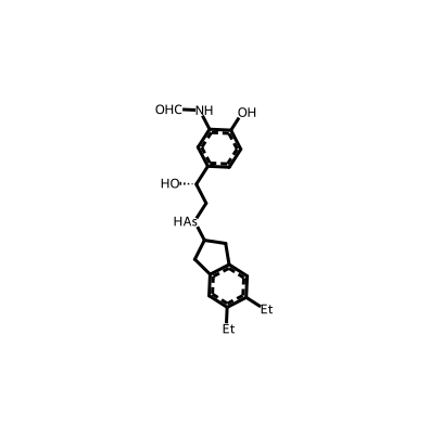 CCc1cc2c(cc1CC)CC([AsH]C[C@H](O)c1ccc(O)c(NC=O)c1)C2